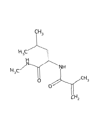 C=C(C)C(=O)N[C@@H](CC(C)C)C(=O)NC